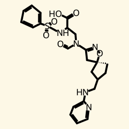 O=CN(CC(NS(=O)(=O)c1ccccc1)C(=O)O)C1=NO[C@]2(CCC(CNc3ccccn3)C2)C1